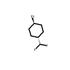 CC[C@H]1CC[C@H](C(F)F)CC1